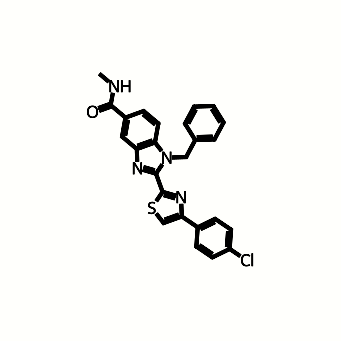 CNC(=O)c1ccc2c(c1)nc(-c1nc(-c3ccc(Cl)cc3)cs1)n2Cc1ccccc1